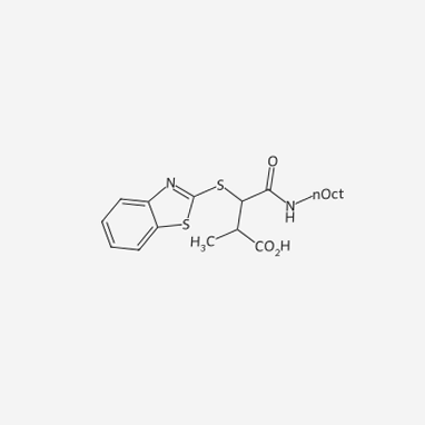 CCCCCCCCNC(=O)C(Sc1nc2ccccc2s1)C(C)C(=O)O